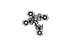 O=C(OC[C@@H]1SC(CNOC(=O)c2ccccc2)[C@H](OC(=O)c2ccccc2)[C@H]1OC(=O)c1ccccc1)c1ccccc1